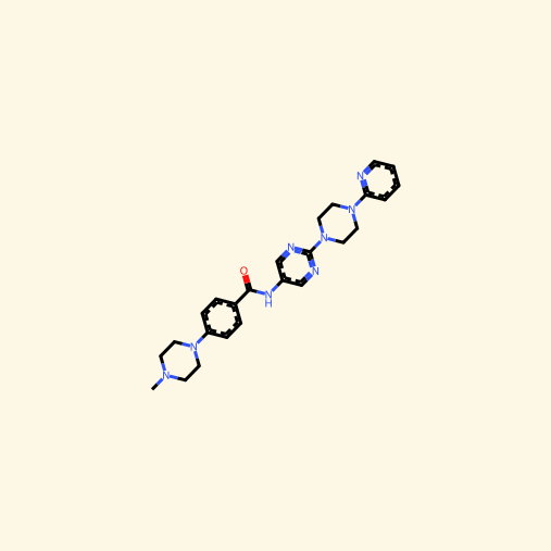 CN1CCN(c2ccc(C(=O)Nc3cnc(N4CCN(c5ccccn5)CC4)nc3)cc2)CC1